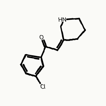 O=C(C=C1CCCNC1)c1cccc(Cl)c1